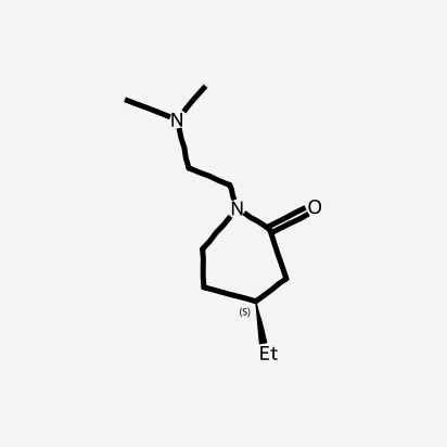 CC[C@H]1CCN(CCN(C)C)C(=O)C1